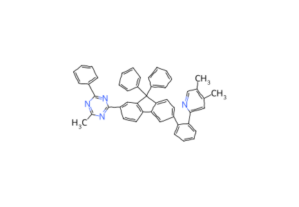 Cc1nc(-c2ccccc2)nc(-c2ccc3c(c2)C(c2ccccc2)(c2ccccc2)c2ccc(-c4ccccc4-c4cc(C)c(C)cn4)cc2-3)n1